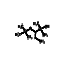 CCC(O[Si](C)(C)C)[Si](C)(C)O